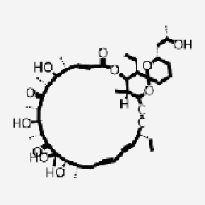 CC[C@@H]1/C=C/C=C/C[C@H](C)[C@@H](O)[C@](C)(O)C(=O)[C@H](C)[C@@H](O)[C@H](C)C(=O)[C@H](C)[C@@H](O)[C@H](C)/C=C/C(=O)OC2[C@@H](C)C(CC1)OC1(CCC[C@@H](C[C@H](C)O)O1)[C@@H]2CC